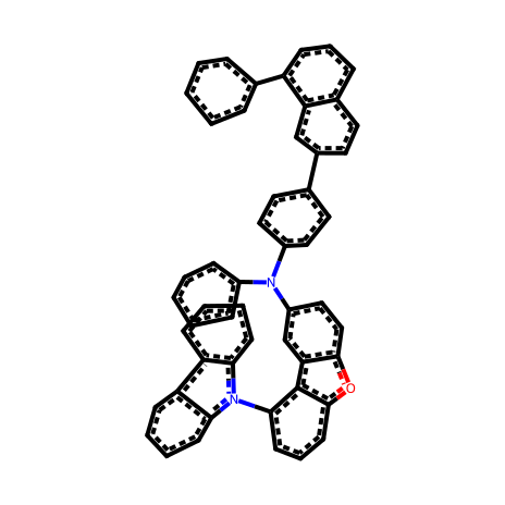 c1ccc(-c2cccc3ccc(-c4ccc(N(c5ccccc5)c5ccc6oc7cccc(-n8c9ccccc9c9ccccc98)c7c6c5)cc4)cc23)cc1